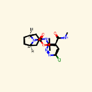 CNC(=O)c1cc(Cl)nnc1NC1C[C@H]2CC[C@@H](C1)N2C(=O)OC(C)(C)C